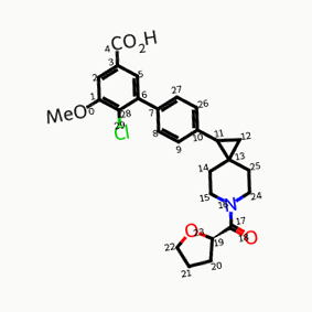 COc1cc(C(=O)O)cc(-c2ccc(C3CC34CCN(C(=O)[C@H]3CCCO3)CC4)cc2)c1Cl